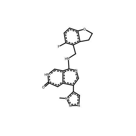 Cn1nncc1-c1cnc(NCc2c(F)ccc3c2CCO3)c2c[nH]c(=O)cc12